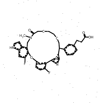 CN1Cc2c(c(F)cc3[nH]ccc23)Oc2ccc(F)c(c2)-c2ncc([nH]2)C(c2cccc(CCC(=O)O)c2)CCCCCCC1=O